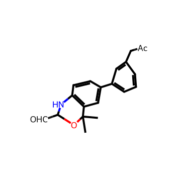 CC(=O)Cc1cccc(-c2ccc3c(c2)C(C)(C)OC(C=O)N3)c1